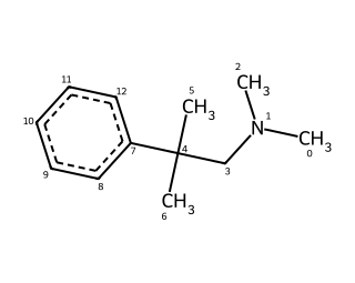 CN(C)CC(C)(C)c1ccccc1